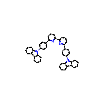 c1cc(-c2ccc(-n3c4ccccc4c4ccccc43)cc2)nc(-c2cccc(-c3ccc(-n4c5ccccc5c5ccccc54)cc3)n2)c1